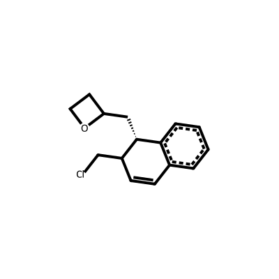 ClCC1C=Cc2ccccc2[C@H]1CC1CCO1